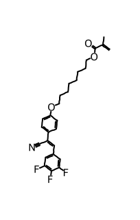 C=C(C)C(=O)OCCCCCCCCOc1ccc(/C(C#N)=C/c2cc(F)c(F)c(F)c2)cc1